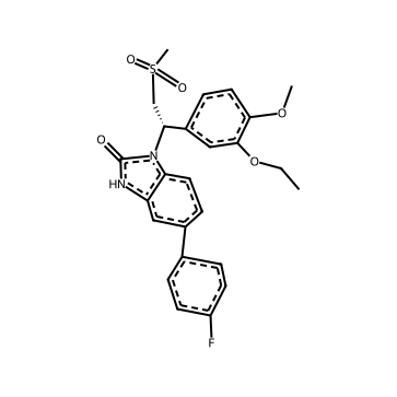 CCOc1cc([C@@H](CS(C)(=O)=O)n2c(=O)[nH]c3cc(-c4ccc(F)cc4)ccc32)ccc1OC